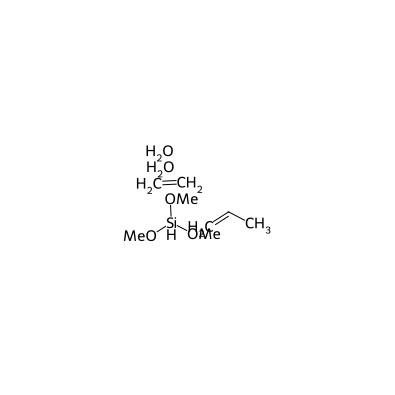 C=C.C=CC.CO[SiH](OC)OC.O.O